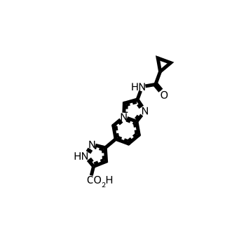 O=C(O)c1cc(-c2ccc3nc(NC(=O)C4CC4)cn3c2)n[nH]1